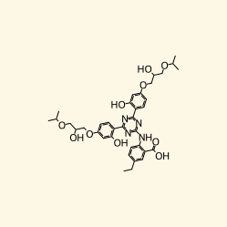 CCc1ccc(Nc2nc(-c3ccc(OCC(O)COC(C)C)cc3O)nc(-c3ccc(OCC(O)COC(C)C)cc3O)n2)c(C(=O)O)c1